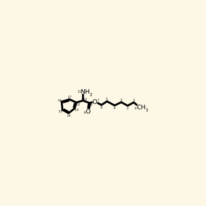 CCCCCCCOC(=O)C(N)c1ccccc1